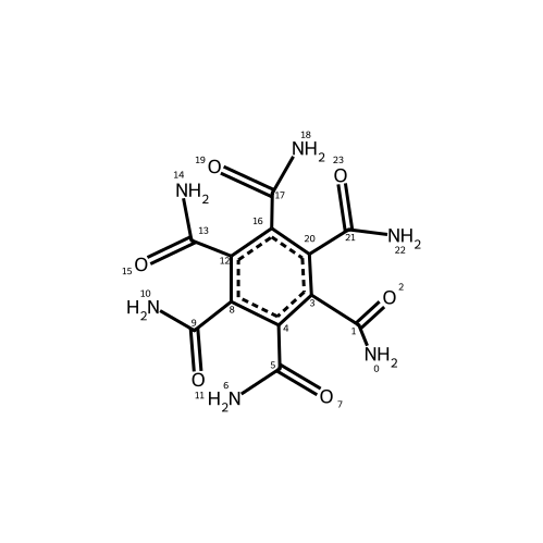 NC(=O)c1c(C(N)=O)c(C(N)=O)c(C(N)=O)c(C(N)=O)c1C(N)=O